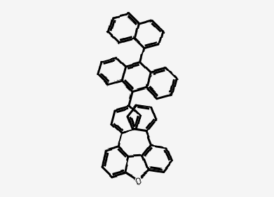 c1ccc(-c2cccc3oc4cccc(-c5ccc(-c6c7ccccc7c(-c7cccc8ccccc78)c7ccccc67)cc5)c4c23)cc1